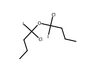 CCCC(Cl)(I)OC(Cl)(I)CCC